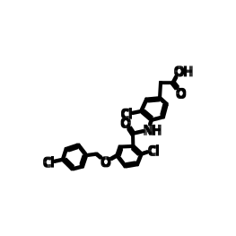 O=C(O)Cc1ccc(NC(=O)c2cc(OCc3ccc(Cl)cc3)ccc2Cl)c(Cl)c1